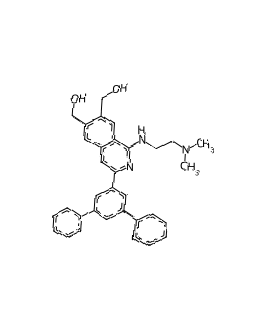 CN(C)CCNc1nc(-c2cc(-c3ccccc3)cc(-c3ccccc3)c2)cc2cc(CO)c(CO)cc12